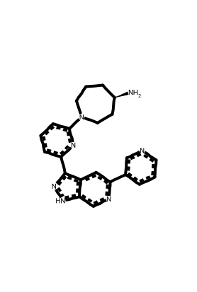 N[C@@H]1CCCN(c2cccc(-c3n[nH]c4cnc(-c5cccnc5)cc34)n2)CC1